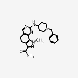 Cn1nc(C(N)=O)c2c1-c1nc(NC3CCN(Cc4ccccc4)CC3)ncc1CC2